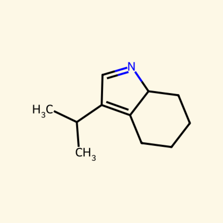 CC(C)C1=C2CCCCC2N=C1